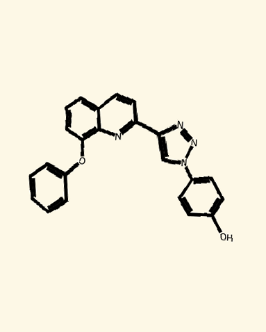 Oc1ccc(-n2cc(-c3ccc4cccc(Oc5ccccc5)c4n3)nn2)cc1